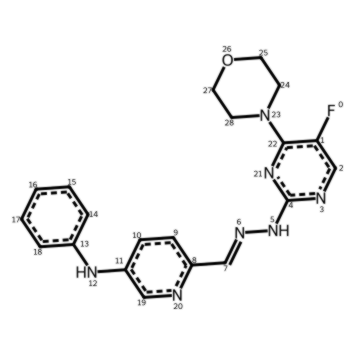 Fc1cnc(N/N=C/c2ccc(Nc3ccccc3)cn2)nc1N1CCOCC1